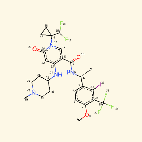 COc1ccc([C@@H](C)NC(=O)c2cn(C3(C(F)F)CC3)c(=O)cc2NC2CCN(C)CC2)c(I)c1C(F)(F)F